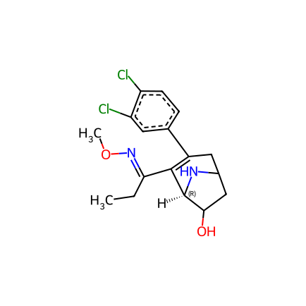 CCC(=NOC)C1=C(c2ccc(Cl)c(Cl)c2)CC2CC(O)[C@@H]1N2